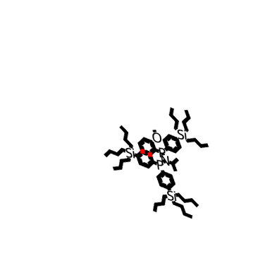 CCCC[Si](CCCC)(CCCC)c1ccc(P(c2ccc([Si](CCCC)(CCCC)CCCC)cc2)N(C(C)C)P(c2ccc([Si](CCCC)(CCCC)CCCC)cc2)c2ccccc2OC)cc1